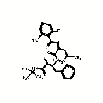 Cc1cccc(Cl)c1C(=O)NC(CC(C)C)C(=O)NC(Cc1ccccc1)C(=O)C(=O)NC(C)(C)C